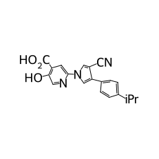 CC(C)c1ccc(-c2cn(-c3cc(C(=O)O)c(O)cn3)cc2C#N)cc1